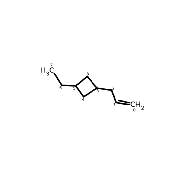 C=CCC1CC(CC)C1